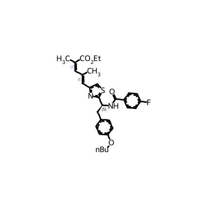 CCCCOc1ccc(C[C@H](NC(=O)c2ccc(F)cc2)c2nc(/C=C(C)/C=C(/C)C(=O)OCC)cs2)cc1